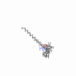 CCCCCCCCCCCCCCCCCC(=O)[NH][Ti]([C]1=C(C)C(C)=C(C)C1C)[SiH](C)c1ccccc1